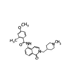 COc1ccc(C(=O)Nc2cccc3c(=O)n(CC4CCN(C)CC4)ccc23)c(C)c1